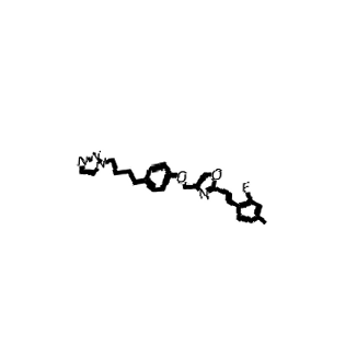 Cc1ccc(/C=C/c2nc(COc3ccc(CCCCn4ccnn4)cc3)co2)c(F)c1